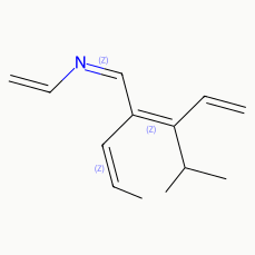 C=C\N=C/C(/C=C\C)=C(\C=C)C(C)C